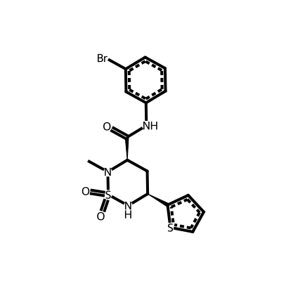 CN1[C@@H](C(=O)Nc2cccc(Br)c2)C[C@@H](c2cccs2)NS1(=O)=O